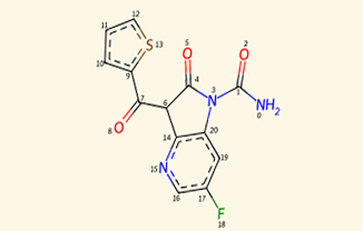 NC(=O)N1C(=O)C(C(=O)c2cccs2)c2ncc(F)cc21